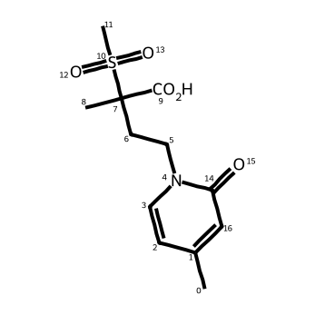 Cc1ccn(CCC(C)(C(=O)O)S(C)(=O)=O)c(=O)c1